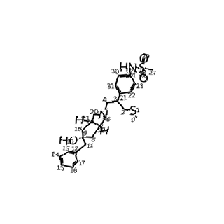 CSCC(CN1C[C@@H]2C[C@@](O)(Cc3ccccc3)C[C@@H]2C1)c1ccc(NS(C)(=O)=O)cc1